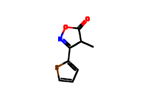 CC1C(=O)ON=C1c1cccs1